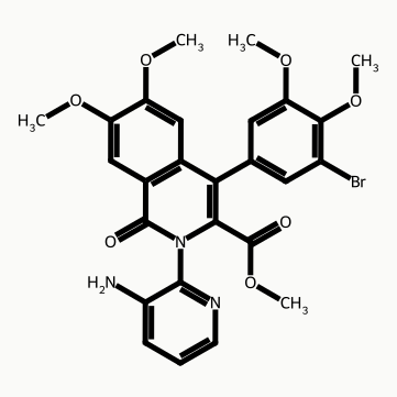 COC(=O)c1c(-c2cc(Br)c(OC)c(OC)c2)c2cc(OC)c(OC)cc2c(=O)n1-c1ncccc1N